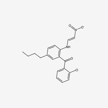 CCCCc1ccc(N/C=C/[N+](=O)[O-])c(C(=O)c2ccccc2Cl)c1